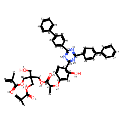 C=C(C)C(=O)OCC(CO)(COC(=O)C(=C)C)COC(=O)C(C)Oc1ccc(-c2nc(-c3ccc(-c4ccccc4)cc3)nc(-c3ccc(-c4ccccc4)cc3)n2)c(O)c1